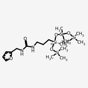 C[Si](C)(C)O[Si](C)(C)O[Si@](C)(CCCNC(=O)NCc1ccco1)O[Si](C)(C)C